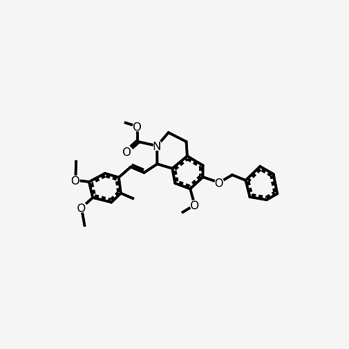 COC(=O)N1CCc2cc(OCc3ccccc3)c(OC)cc2C1/C=C/c1cc(OC)c(OC)cc1C